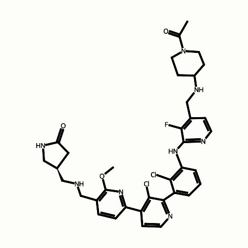 COc1nc(-c2ccnc(-c3cccc(Nc4nccc(CNC5CCN(C(C)=O)CC5)c4F)c3Cl)c2Cl)ccc1CNC[C@H]1CNC(=O)C1